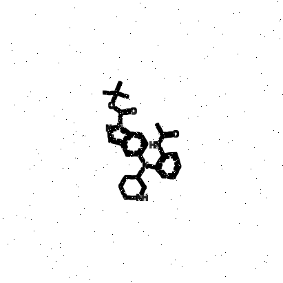 CC(=O)Nc1ccccc1N(c1ccc2c(cnn2C(=O)OC(C)(C)C)c1)C1CCCNC1